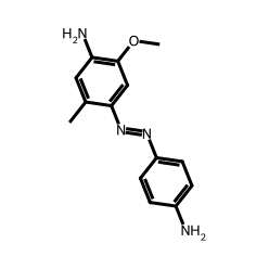 COc1cc(/N=N/c2ccc(N)cc2)c(C)cc1N